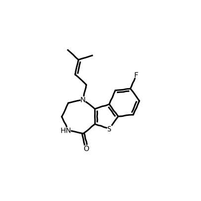 CC(C)=CCN1CCNC(=O)c2sc3ccc(F)cc3c21